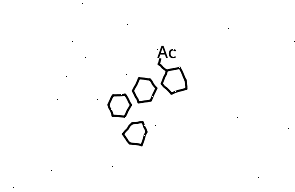 C1CCCCC1.C1CCCCC1.C1CCCCC1.CC(=O)CC1CCCCC1